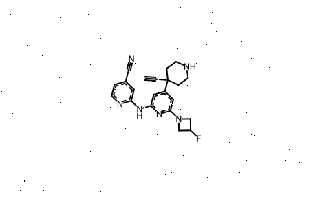 C#CC1(c2cc(Nc3cc(C#N)ccn3)nc(N3CC(F)C3)c2)CCNCC1